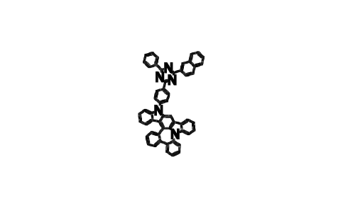 c1ccc(-c2nc(-c3ccc(-n4c5ccccc5c5c6c7c(cc54)c4ccccc4n7-c4ccccc4-c4ccccc4-6)cc3)nc(-c3ccc4ccccc4c3)n2)cc1